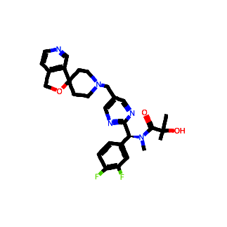 CN(C(=O)C(C)(C)O)[C@@H](c1ccc(F)c(F)c1)c1ncc(CN2CCC3(CC2)OCc2ccncc23)cn1